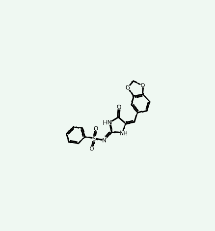 O=C1NC(=NS(=O)(=O)c2ccccc2)NC1=Cc1ccc2c(c1)OCO2